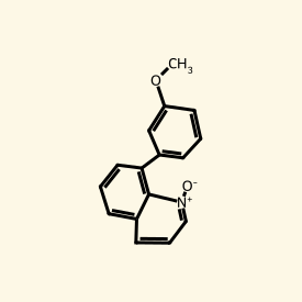 COc1cccc(-c2cccc3ccc[n+]([O-])c23)c1